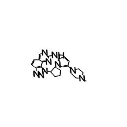 CN1CCN(c2ccc(Nc3ncc4ccc5nnn(C6CCCC6)c5c4n3)nc2)CC1